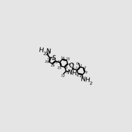 Cc1ccc(N)cc1C(=O)NC(C)c1cccc(-c2ccc(CN)s2)c1